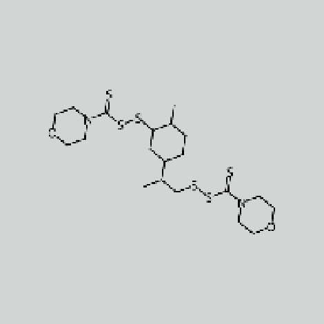 CC(CSSC(=S)N1CCOCC1)C1CCC(C)C(SSC(=S)N2CCOCC2)C1